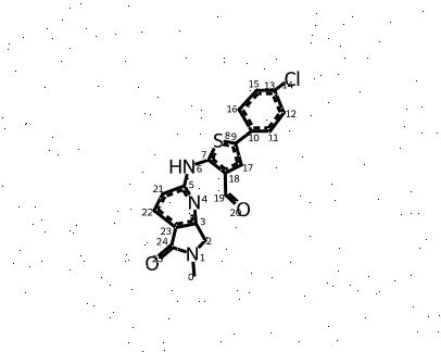 CN1Cc2nc(Nc3sc(-c4ccc(Cl)cc4)cc3C=O)ccc2C1=O